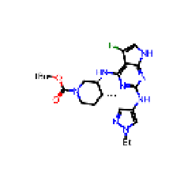 CCn1cc(Nc2nc(N[C@H]3CN(C(=O)OC(C)(C)C)CC[C@H]3C)c3c(F)c[nH]c3n2)cn1